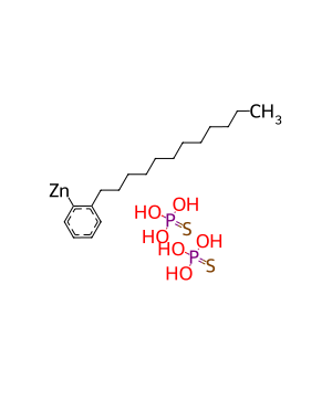 CCCCCCCCCCCCc1cccc[c]1[Zn].OP(O)(O)=S.OP(O)(O)=S